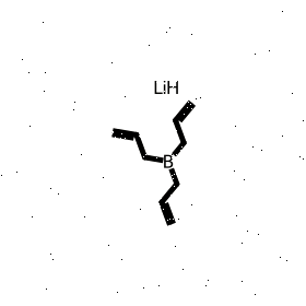 C=CCB(CC=C)CC=C.[LiH]